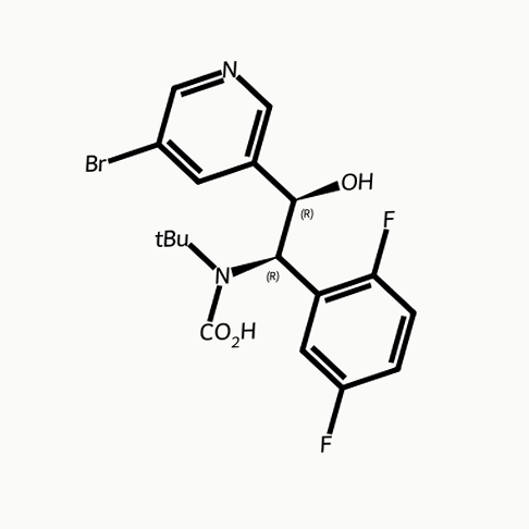 CC(C)(C)N(C(=O)O)[C@H](c1cc(F)ccc1F)[C@H](O)c1cncc(Br)c1